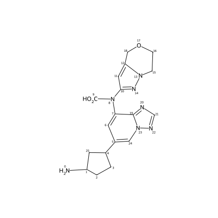 NC1CCC(c2cc(N(C(=O)O)c3cc4n(n3)CCOC4)c3ncnn3c2)C1